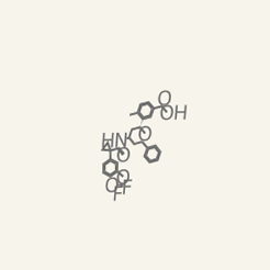 Cc1ccc(C(=O)O)cc1[C@H]1CC(NC(=O)C2(c3ccc4c(c3)OC(F)(F)O4)CC2)CC(c2ccccc2)O1